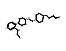 CCCCC[C@H]1CC[C@H](CC[C@H]2CC[C@H](c3ccccc3CCC)CC2)CC1